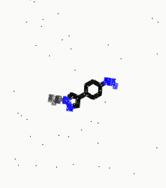 NC1CCC(c2cnn(C(F)(F)F)c2)CC1